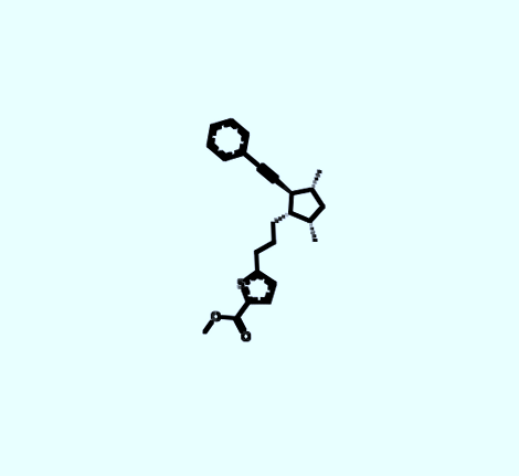 COC(=O)c1ccc(CCC[C@@H]2[C@@H](C#Cc3ccccc3)[C@H](C)C[C@@H]2C)s1